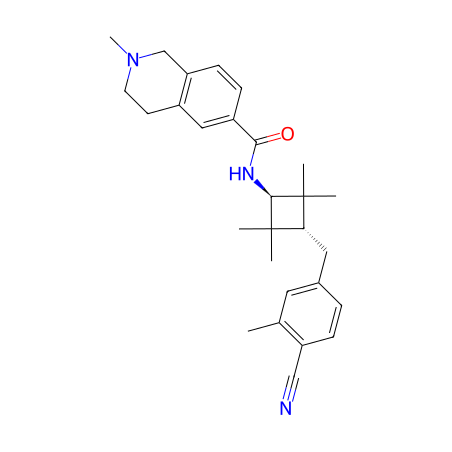 Cc1cc(C[C@H]2C(C)(C)[C@H](NC(=O)c3ccc4c(c3)CCN(C)C4)C2(C)C)ccc1C#N